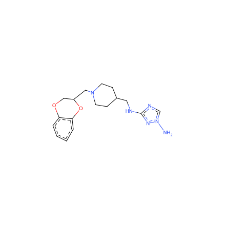 Nn1cnc(NCC2CCN(CC3COc4ccccc4O3)CC2)n1